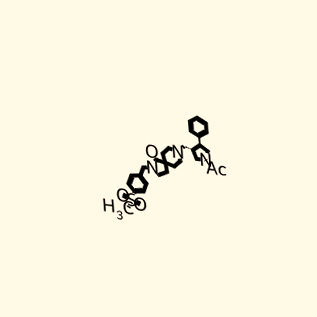 CC(=O)N1C[C@H](CN2CCC3(CC2)CCN(Cc2ccc(S(C)(=O)=O)cc2)C3=O)[C@@H](c2ccccc2)C1